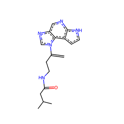 C=C(CCNC(=O)CC(C)C)n1cnc2cnc3[nH]ccc3c21